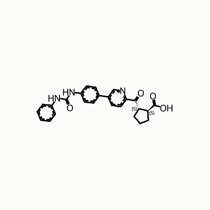 O=C(Nc1ccccc1)Nc1ccc(-c2ccc(C(=O)[C@H]3CCC[C@@H]3C(=O)O)nc2)cc1